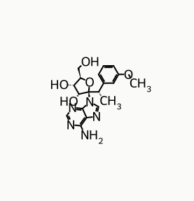 COc1cccc([C@H](C)[C@@]2(n3cnc4c(N)ncnc43)O[C@H](CO)[C@@H](O)[C@H]2O)c1